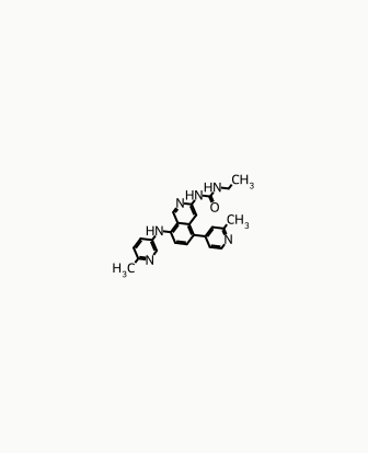 CCNC(=O)Nc1cc2c(-c3ccnc(C)c3)ccc(Nc3ccc(C)nc3)c2cn1